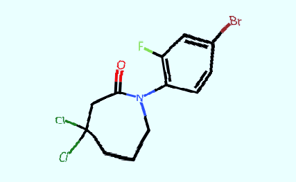 O=C1CC(Cl)(Cl)CCCN1c1ccc(Br)cc1F